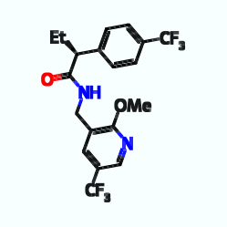 CC[C@H](C(=O)NCc1cc(C(F)(F)F)cnc1OC)c1ccc(C(F)(F)F)cc1